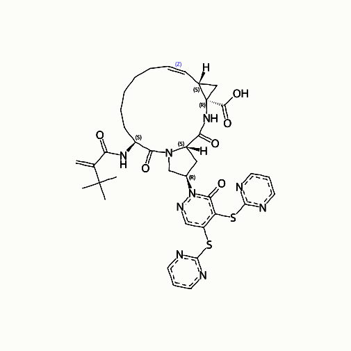 C=C(C(=O)N[C@H]1CCCCC/C=C\[C@@H]2C[C@@]2(C(=O)O)NC(=O)[C@@H]2C[C@@H](n3ncc(Sc4ncccn4)c(Sc4ncccn4)c3=O)CN2C1=O)C(C)(C)C